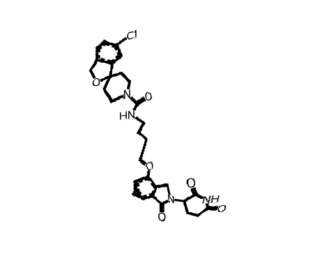 O=C1CCC(N2Cc3c(OCCCCNC(=O)N4CCC5(CC4)OCc4ccc(Cl)cc45)cccc3C2=O)C(=O)N1